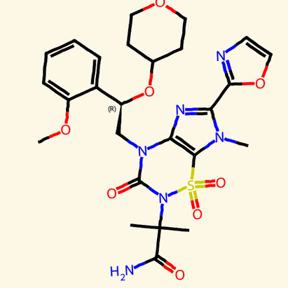 COc1ccccc1[C@H](CN1C(=O)N(C(C)(C)C(N)=O)S(=O)(=O)c2c1nc(-c1ncco1)n2C)OC1CCOCC1